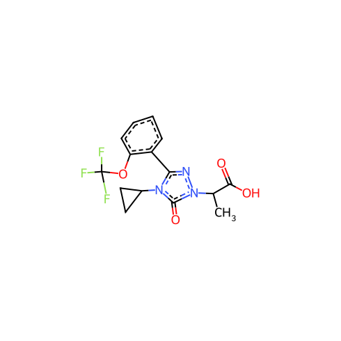 CC(C(=O)O)n1nc(-c2ccccc2OC(F)(F)F)n(C2CC2)c1=O